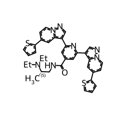 CCN(CC)[C@@H](C)CNC(=O)c1cc(-c2cnn3ccc(-c4cccs4)cc23)nc(-c2cnn3ccc(-c4cccs4)cc23)c1